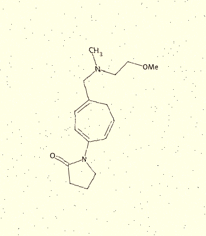 COCCN(C)CC1=CC=C(N2CCCC2=O)C=CC1